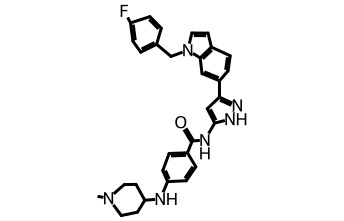 CN1CCC(Nc2ccc(C(=O)Nc3cc(-c4ccc5ccn(Cc6ccc(F)cc6)c5c4)n[nH]3)cc2)CC1